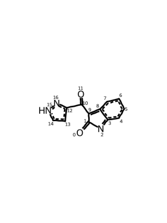 O=C1N=c2ccccc2=C1C(=O)c1cc[nH]n1